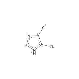 Clc1n[c][nH]c1Cl